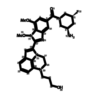 COc1cc(C(=O)N2C[C@H](N)C[C@@H](F)C2)cc2nc(-c3cc4cccc5c4n3CCN5CCCO)n(OC)c12